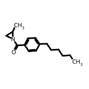 CCCCCCc1ccc(C(=O)N2CC2C)cc1